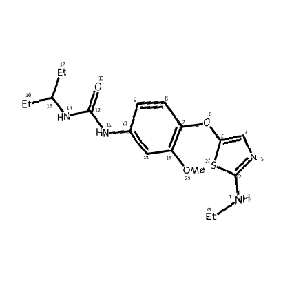 CCNc1ncc(Oc2ccc(NC(=O)NC(CC)CC)cc2OC)s1